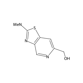 CNc1nc2cnc(CO)cc2s1